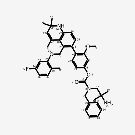 COc1cc(OC(=O)N(Cc2ccccc2)CC(C)(C)N)ccc1-c1ccc2c(c1COc1cc(F)ccc1C)C(C)=CC(C)(C)N2